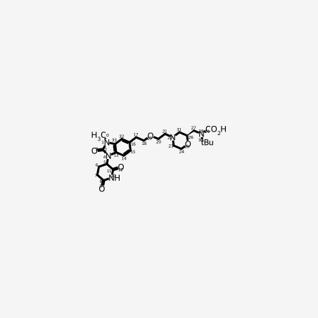 Cn1c(=O)n(C2CCC(=O)NC2=O)c2ccc(CCOCCN3CCO[C@H](CN(C(=O)O)C(C)(C)C)C3)cc21